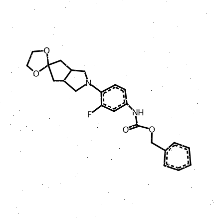 O=C(Nc1ccc(N2CC3CC4(CC3C2)OCCO4)c(F)c1)OCc1ccccc1